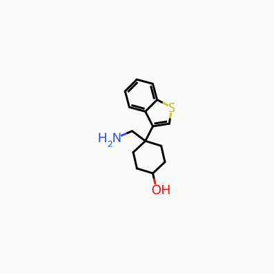 NCC1(c2csc3ccccc23)CCC(O)CC1